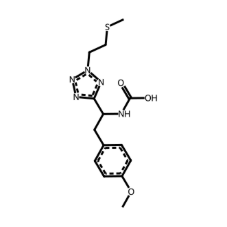 COc1ccc(CC(NC(=O)O)c2nnn(CCSC)n2)cc1